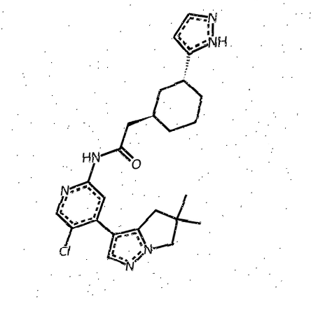 CC1(C)Cc2c(-c3cc(NC(=O)C[C@@H]4CCC[C@@H](c5ccn[nH]5)C4)ncc3Cl)cnn2C1